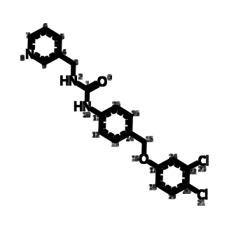 O=C(NCc1cccnc1)Nc1ccc(COc2ccc(Cl)c(Cl)c2)cc1